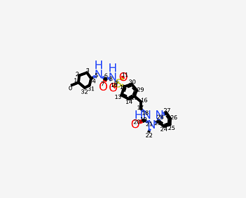 CC1CCC(NC(=O)NS(=O)(=O)c2ccc(CCNC(=O)N(C)c3ccccn3)cc2)CC1